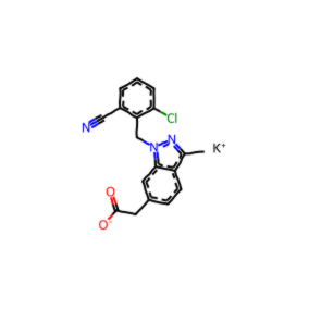 Cc1nn(Cc2c(Cl)cccc2C#N)c2cc(CC(=O)[O-])ccc12.[K+]